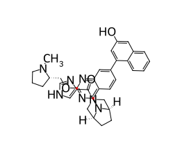 CN1CCC[C@H]1COc1nc(N2[C@@H]3CC[C@H]2CN(C(=O)c2c[nH]cn2)C3)c2ccc(-c3cc(O)cc4ccccc34)cc2n1